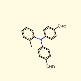 Cc1ccccc1N(c1ccc(C=O)cc1)c1ccc(C=O)cc1